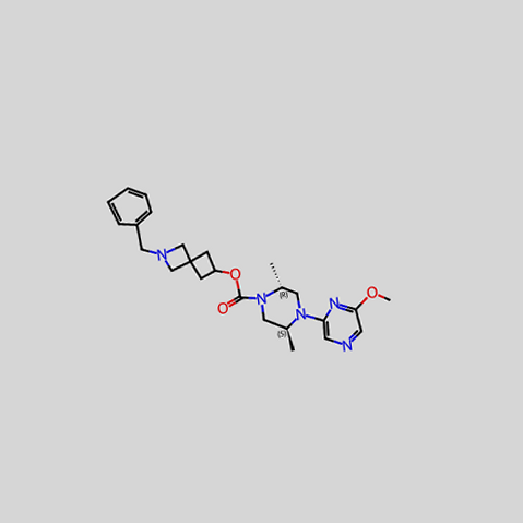 COc1cncc(N2C[C@@H](C)N(C(=O)OC3CC4(C3)CN(Cc3ccccc3)C4)C[C@@H]2C)n1